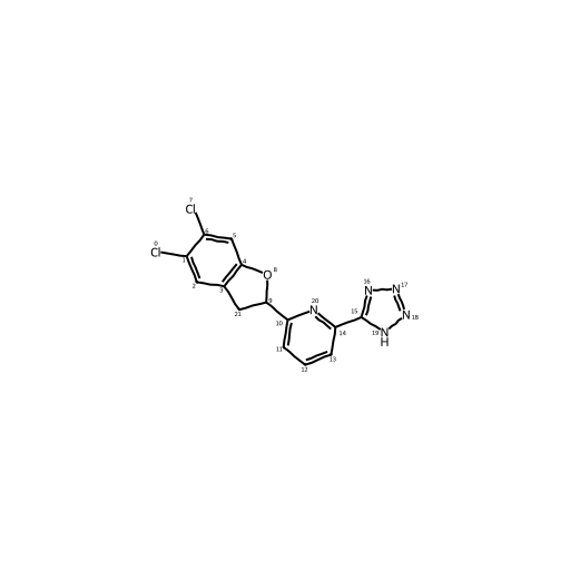 Clc1cc2c(cc1Cl)OC(c1cccc(-c3nnn[nH]3)n1)C2